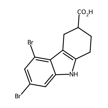 O=C(O)C1CCc2[nH]c3cc(Br)cc(Br)c3c2C1